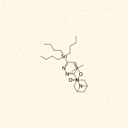 CCC[CH2][Sn]([CH2]CCC)([CH2]CCC)[c]1ccc(N2CC3CC(C2)N3C(=O)OC(C)(C)C)nn1